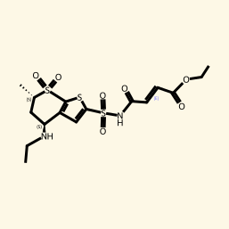 CCN[C@H]1C[C@H](C)S(=O)(=O)c2sc(S(=O)(=O)NC(=O)/C=C/C(=O)OCC)cc21